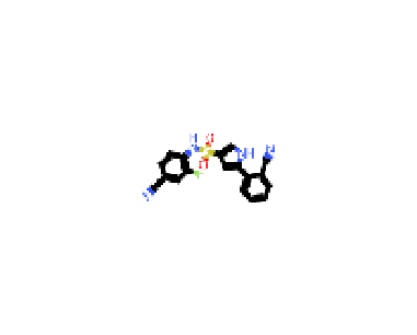 N#Cc1ccc(NS(=O)(=O)c2c[nH]c(-c3ccccc3C#N)c2)c(F)c1